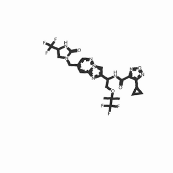 CC(C)(OCC(NC(=O)c1nonc1C1CC1)c1cn2ncc(CN3CC(C(F)(F)F)NC3=O)cc2n1)C(F)(F)F